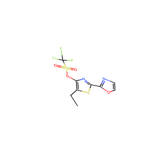 CCc1sc(-c2ncco2)nc1OS(=O)(=O)C(F)(F)F